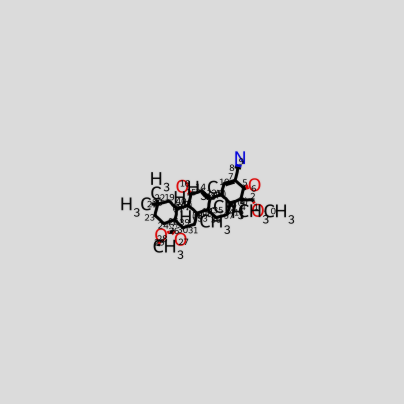 COC[C@]1(C)C(=O)C(C#N)=C[C@]2(C)C3=CC(=O)[C@@H]4[C@@H]5CC(C)(C)CC[C@]5(C(=O)OC)CC[C@@]4(C)[C@]3(C)CC[C@H]21